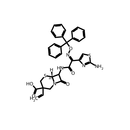 C=CC1(C(=O)O)CS[C@@H]2C(NC(=O)C(=NOC(c3ccccc3)(c3ccccc3)c3ccccc3)c3csc(N)n3)C(=O)N2C1